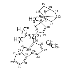 C[C](C)=[Zr+2]([C]1=CC(C)(C23CC4CC(CC(C4)C2)C3)C=C1)[c]1cccc2c1Cc1ccccc1-2.[Cl-].[Cl-]